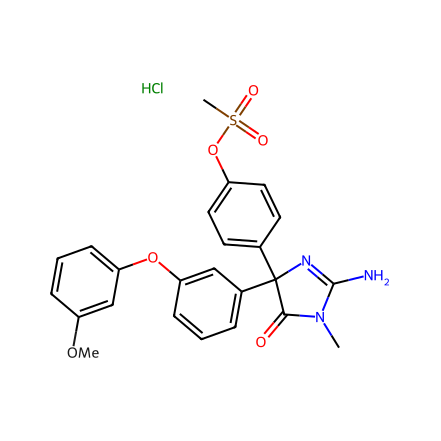 COc1cccc(Oc2cccc(C3(c4ccc(OS(C)(=O)=O)cc4)N=C(N)N(C)C3=O)c2)c1.Cl